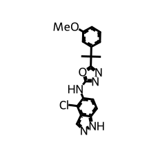 COc1cccc(C(C)(C)c2nnc(Nc3ccc4[nH]ncc4c3Cl)o2)c1